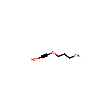 CCCCOC#CO